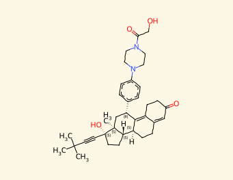 CC(C)(C)C#C[C@]1(O)CC[C@H]2[C@@H]3CCC4=CC(=O)CCC4=C3[C@@H](c3ccc(N4CCN(C(=O)CO)CC4)cc3)C[C@@]21C